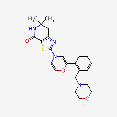 CC1(C)Cc2nc(N3C=COC(C4=C(CN5CCOCC5)C=CCC4)=C3)sc2C(=O)N1